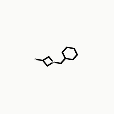 FC1CN(CC2CCCCC2)C1